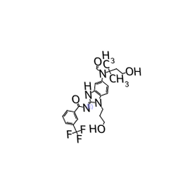 CC(C)(CCO)N(C=O)c1ccc2c(c1)[nH]/c(=N\C(=O)c1cccc(C(F)(F)F)c1)n2CCCO